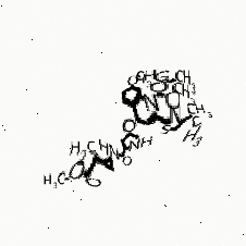 C=C(C(=O)OCC)C1CC1NC(=O)C1CC(OC2C=C(c3nc(C(C)C)cs3)N(C(=O)OC(C)(C)C)c3cc(OC)ccc32)CN1